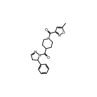 Cc1cc(C(=O)N2CCC(C(=O)N3N=CCC3c3ccccc3)CC2)no1